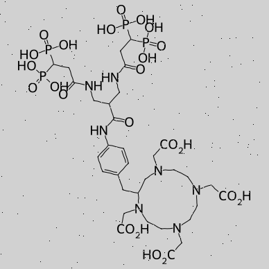 O=C(O)CN1CCN(CC(=O)O)CCN(CC(=O)O)C(Cc2ccc(NC(=O)C(CNC(=O)CC(P(=O)(O)O)P(=O)(O)O)CNC(=O)CC(P(=O)(O)O)P(=O)(O)O)cc2)CN(CC(=O)O)CC1